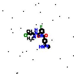 C=N/C(=C\C=C(/C)Cl)NC(=O)c1cc(F)ccc1NC(=O)c1ccc(C(=N)N2CCC2)cc1